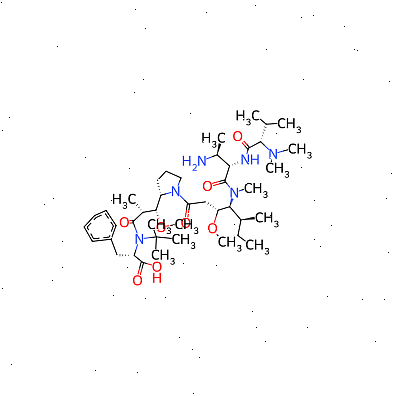 CC[C@H](C)[C@@H]([C@@H](CC(=O)N1CCC[C@H]1[C@H](OC)[C@@H](C)C(=O)N([C@@H](Cc1ccccc1)C(=O)O)C(C)(C)C)OC)N(C)C(=O)[C@@H](NC(=O)[C@H](C(C)C)N(C)C)[C@H](C)N